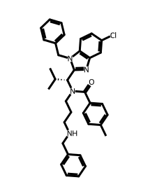 Cc1ccc(C(=O)N(CCCNCc2ccccc2)[C@@H](c2nc3cc(Cl)ccc3n2Cc2ccccc2)C(C)C)cc1